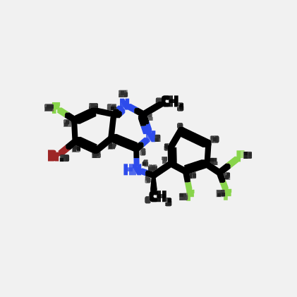 Cc1nc(N[C@H](C)c2cccc(C(F)F)c2F)c2cc(Br)c(F)cc2n1